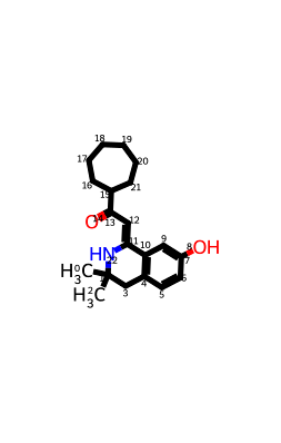 CC1(C)Cc2ccc(O)cc2C(=CC(=O)C2CCCCCC2)N1